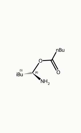 CCCCC(=O)O[C@@H](N)[C@@H](C)CC